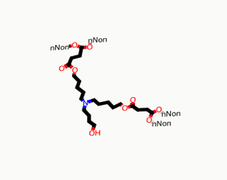 CCCCCCCCCOC(CCC(=O)OCCCCCN(CCCCO)CCCCCOC(=O)CCC(OCCCCCCCCC)OCCCCCCCCC)OCCCCCCCCC